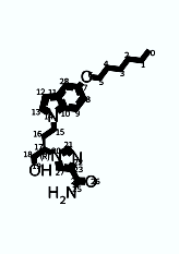 CCCCCCOc1ccc2c(ccn2CC[C@H](CO)n2cnc(C(N)=O)c2)c1